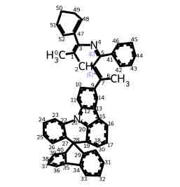 CC(C)=C(/N=C(\C=C(/C)c1ccc2c(c1)c1cccc3c1n2-c1ccccc1C31c2ccccc2-c2ccccc21)c1ccccc1)C1=CCCC=C1